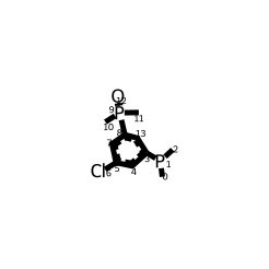 CP(C)c1cc(Cl)cc(P(C)(C)=O)c1